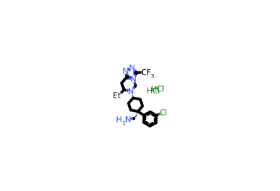 CCC1Cc2nnc(C(F)(F)F)n2CN1[C@H]1CC[C@](CN)(c2cccc(Cl)c2)CC1.Cl.Cl